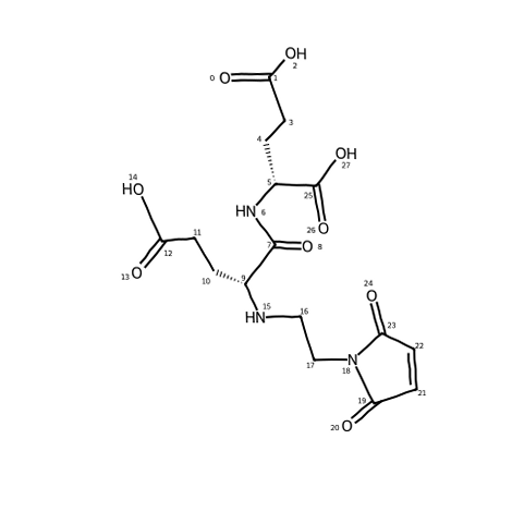 O=C(O)CC[C@@H](NC(=O)[C@@H](CCC(=O)O)NCCN1C(=O)C=CC1=O)C(=O)O